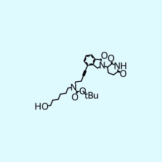 CC(C)(C)OC(=O)N(CCC#Cc1cccc2c1CN(C1CCC(=O)NC1=O)C2=O)CCCCCCO